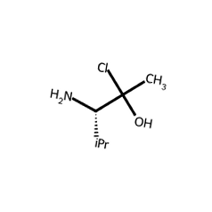 CC(C)[C@H](N)C(C)(O)Cl